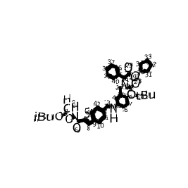 CC(C)COC(C)ONC(=O)c1cc2ccc(CNc3cccc(CN(C(=O)OC(C)(C)C)C(C(=O)OC4CCCC4)c4ccccc4)c3)cc2s1